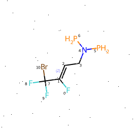 F/C(=C\CN(P)P)C(F)(F)Br